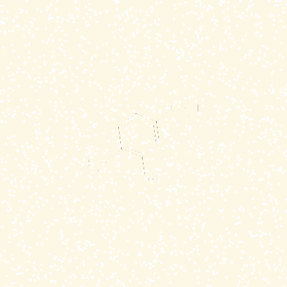 Bc1ccc(C(=O)O)cc1O